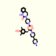 Cc1cc(C[C@@H](OC(=O)N2CCC(N3CCc4ccccc4NC3=O)CC2)C(=O)N2CCC(C3CCN(C)CC3)CC2)cc(C)c1O